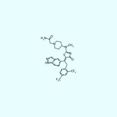 CN(C1=NC(=O)C(=C(Cc2ccc(C(F)(F)F)cc2C(F)(F)F)c2ccc3[nH]ncc3c2)S1)C1CCN(CC(N)=O)CC1